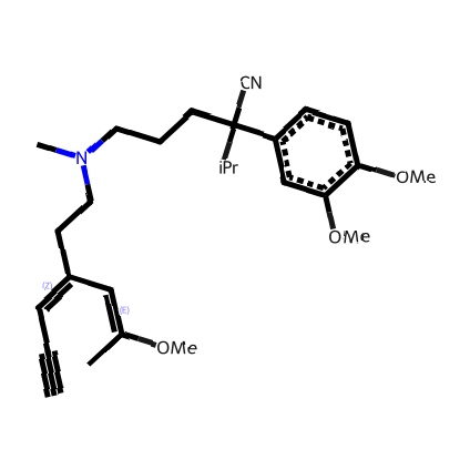 C#C/C=C(\C=C(/C)OC)CCN(C)CCCC(C#N)(c1ccc(OC)c(OC)c1)C(C)C